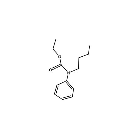 [CH2]COC(=O)N(CCCC)c1ccccc1